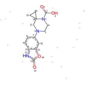 O=C(O)N1CCN(c2ccc3[nH]c(=O)oc3c2)CC12CC2